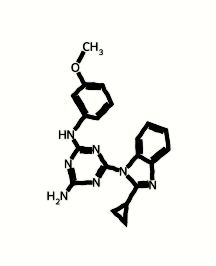 COc1cccc(Nc2nc(N)nc(-n3c(C4CC4)nc4ccccc43)n2)c1